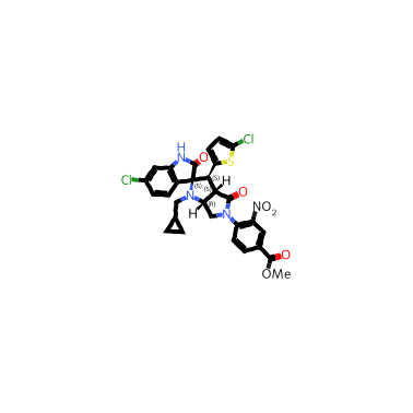 COC(=O)c1ccc(N2C[C@H]3[C@@H](C2=O)[C@H](c2ccc(Cl)s2)[C@]2(C(=O)Nc4cc(Cl)ccc42)N3CC2CC2)c([N+](=O)[O-])c1